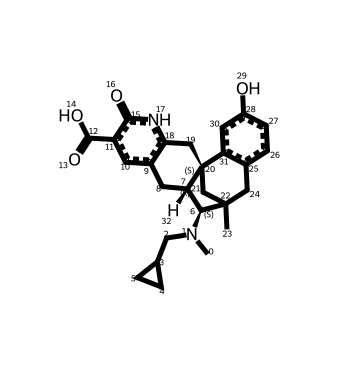 CN(CC1CC1)[C@H]1[C@@H]2Cc3cc(C(=O)O)c(=O)[nH]c3C[C@@]23CC1(C)Cc1ccc(O)cc13